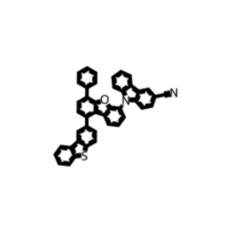 N#Cc1ccc2c(c1)c1ccccc1n2-c1cccc2c1oc1c(-c3ccccc3)ccc(-c3ccc4sc5ccccc5c4c3)c12